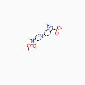 COC(=O)c1cn(C)c2cc(N3CCC(N(C)C(=O)OC(C)(C)C)CC3)ccc12